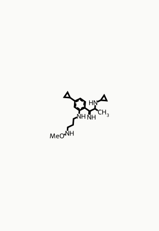 CONCCCNc1cc(C2CC2)ccc1C(=N)C(C)NC1CC1